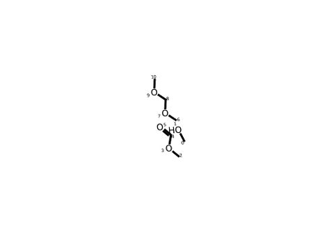 CO.COC=O.COCOC